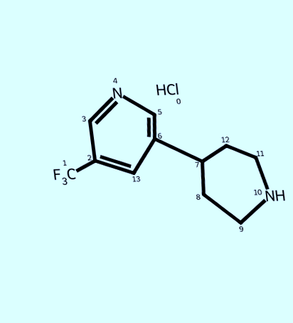 Cl.FC(F)(F)c1cncc(C2CCNCC2)c1